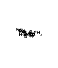 Cc1ccc2nnn(CCC(Sc3ccc(-c4ccc(F)cc4)cc3)C(=O)O)c(=O)c2c1